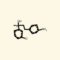 [CH2][C@@](O)(CCc1ccc(N)cc1)c1cccc(Cl)c1